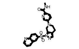 CNC(=O)c1ccc(N2CCc3cnn(S(=O)(=O)c4ccc5ncccc5c4)c3C2)cn1